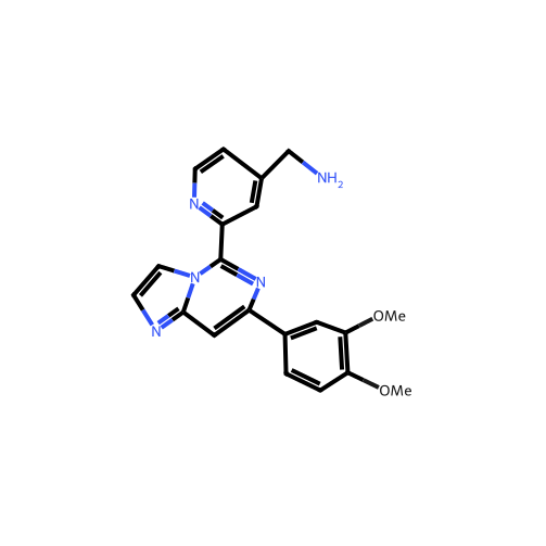 COc1ccc(-c2cc3nccn3c(-c3cc(CN)ccn3)n2)cc1OC